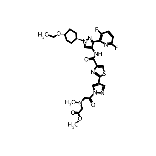 CCO[C@H]1CC[C@H](n2cc(NC(=O)c3csc(-c4cnn(C(=O)CN(C)CC(=O)OC)c4)n3)c(-c3nc(F)ccc3F)n2)CC1